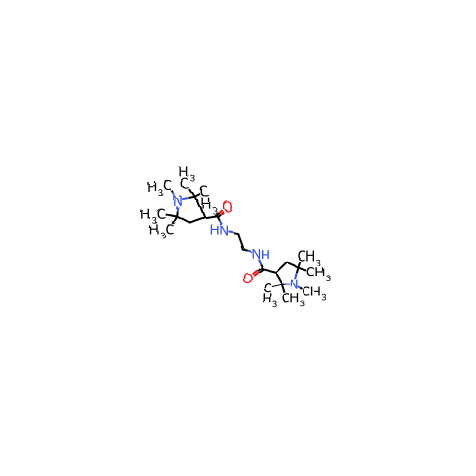 CN1C(C)(C)CC(C(=O)NCCNC(=O)C2CC(C)(C)N(C)C2(C)C)C1(C)C